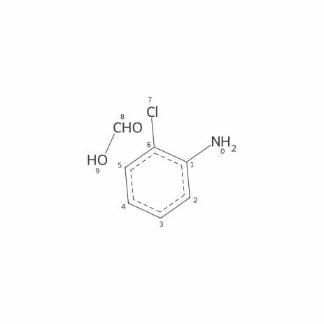 Nc1ccccc1Cl.O=CO